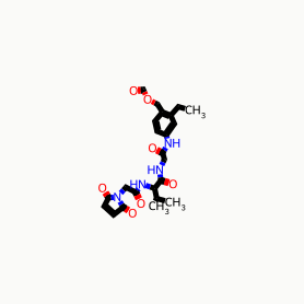 CCc1cc(NC(=O)CNC(=O)C(NC(=O)CN2C(=O)C=CC2=O)C(C)C)ccc1COC=O